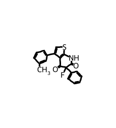 Cc1cccc(-c2csc3c2C(=O)C(F)(c2ccccc2)C(=O)N3)c1